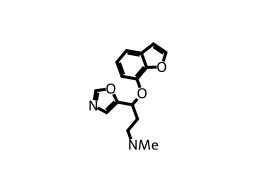 CNCCC(Oc1cccc2ccoc12)c1cnco1